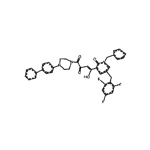 O=C(C=C(O)c1cc(Cc2c(F)cc(F)cc2F)cn(Cc2ccccc2)c1=O)C(=O)N1CCN(c2ccc(-c3ccccc3)cc2)CC1